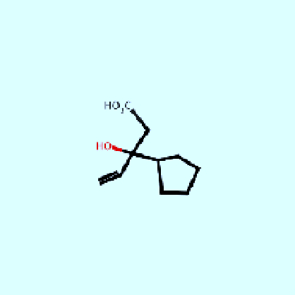 C=CC(O)(CC(=O)O)C1CCCC1